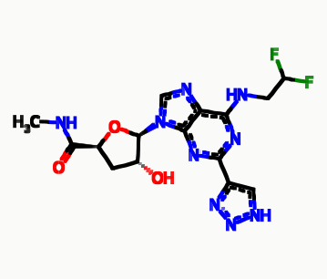 CNC(=O)[C@@H]1C[C@@H](O)[C@H](n2cnc3c(NCC(F)F)nc(-c4c[nH]nn4)nc32)O1